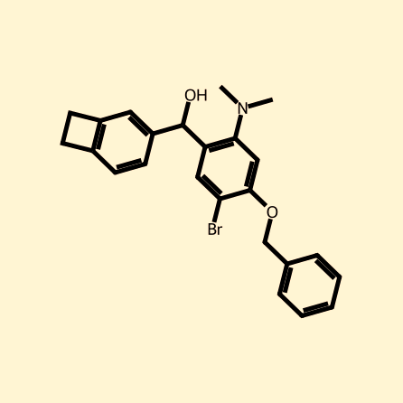 CN(C)c1cc(OCc2ccccc2)c(Br)cc1C(O)c1ccc2c(c1)CC2